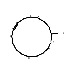 O=CC1CCCCC/C=C\CCCCCCCCO1